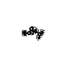 COc1ccc(-c2nnnn2C)cc1C1=C(CN2C(=O)O[C@H](c3cc(C(F)(F)F)cc(C(F)(F)F)c3)[C@@H]2C)CC(C)(C)CC1